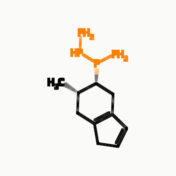 C[C@H]1CC2=C(C=CC2)C[C@H]1P(P)PP